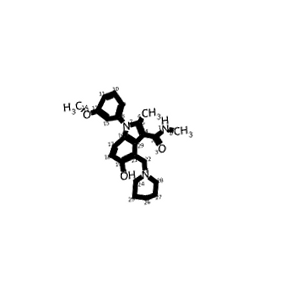 CNC(=O)c1c(C)n(-c2cccc(OC)c2)c2ccc(O)c(CN3CCCCC3)c12